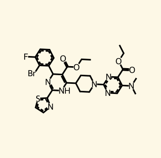 CCOC(=O)C1=C(C2CCN(c3ncc(N(C)C)c(C(=O)OCC)n3)CC2)NC(c2nccs2)=NC1c1cccc(F)c1Br